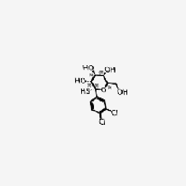 OC[C@H]1O[C@@](S)(c2ccc(Cl)c(Cl)c2)[C@H](O)[C@@H](O)[C@H]1O